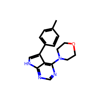 Cc1ccc(-c2c[nH]c3ncnc(N4CCOCC4)c23)cc1